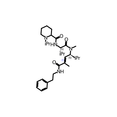 C/C(=C\[C@H](C(C)C)N(C)C(=O)[C@@H](NC(=O)C1CCCCN1C(C)C)C(C)C)C(=O)NCCc1ccccc1